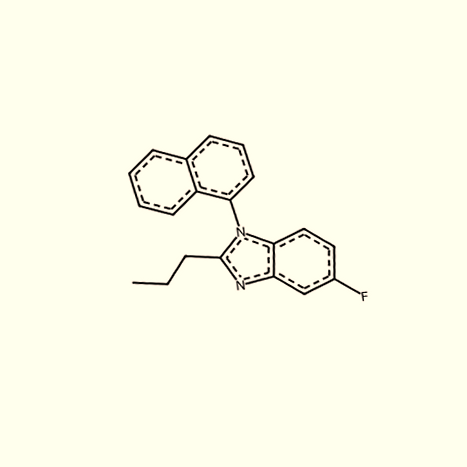 CCCc1nc2cc(F)ccc2n1-c1cccc2ccccc12